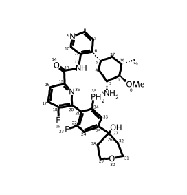 CO[C@H]1[C@H](N)C[C@H](c2ccncc2NC(=O)c2ccc(F)c(-c3c(F)cc(C4(O)CCOCC4)cc3P)n2)C[C@@H]1C